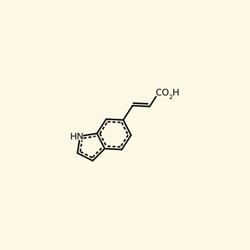 O=C(O)/C=C/c1ccc2cc[nH]c2c1